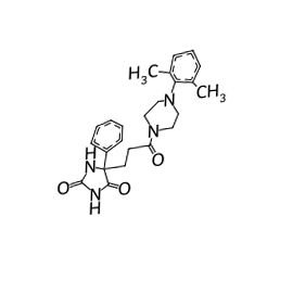 Cc1cccc(C)c1N1CCN(C(=O)CCC2(c3ccccc3)NC(=O)NC2=O)CC1